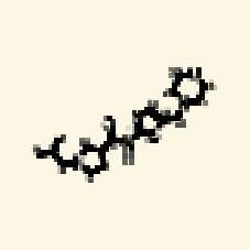 C[C](C)CN1CCC(C(=O)Nc2ncc(CN3CCOCC3)s2)C1